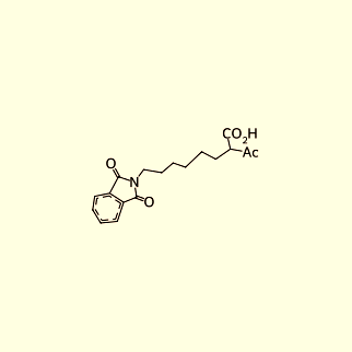 CC(=O)C(CCCCCCN1C(=O)c2ccccc2C1=O)C(=O)O